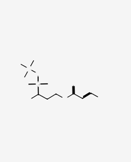 CCC(CCOC(=O)C=CC(=O)O)[Si](C)(C)O[Si](C)(C)C